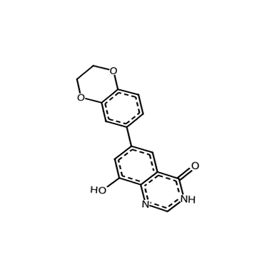 O=c1[nH]cnc2c(O)cc(-c3ccc4c(c3)OCCO4)cc12